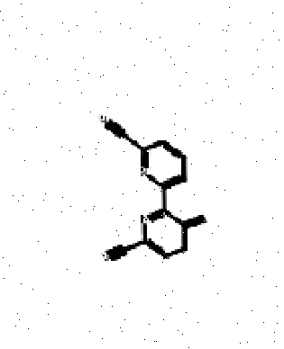 C=C1CC=C(C#N)N=C1c1cccc(C#N)n1